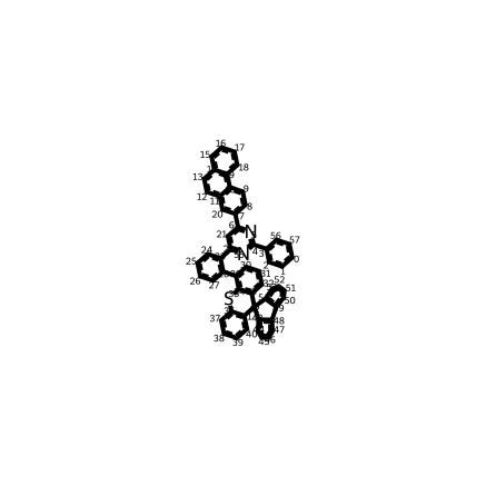 c1ccc(-c2nc(-c3ccc4c(ccc5ccccc54)c3)cc(-c3ccccc3-c3cccc4c3Sc3ccccc3C43c4ccccc4-c4ccccc43)n2)cc1